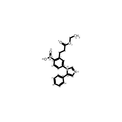 CCOC(=O)CCc1cc(-n2cncc2-c2ccccc2)ccc1[N+](=O)[O-]